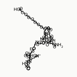 Cc1cc(N(CCCC(O)C[N+](C)(C)C)c2nc(C(=O)O)c(CCCOc3ccc(C#CCN(C)C(=O)OCc4ccc(NC(=O)[C@H](CCCNC(N)=O)NC(=O)[C@@H](NC(=O)CCOCCN5C(=O)C=CC5=O)C(C)C)cc4CN(C)C(=O)OCc4cn(CCOCCOCCOCCOCCOCCOCCOCCOCCC(=O)O)nn4)cc3F)s2)nnc1Nc1nc2ccccc2s1